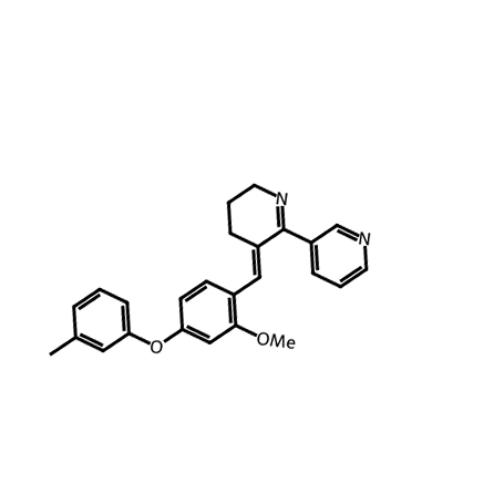 COc1cc(Oc2cccc(C)c2)ccc1/C=C1\CCCN=C1c1cccnc1